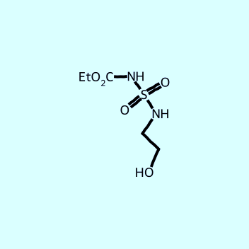 CCOC(=O)NS(=O)(=O)NCCO